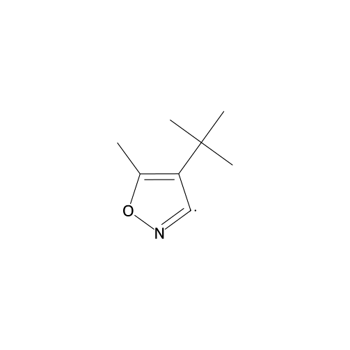 Cc1on[c]c1C(C)(C)C